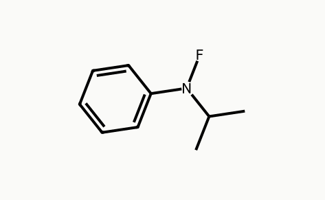 CC(C)N(F)c1ccccc1